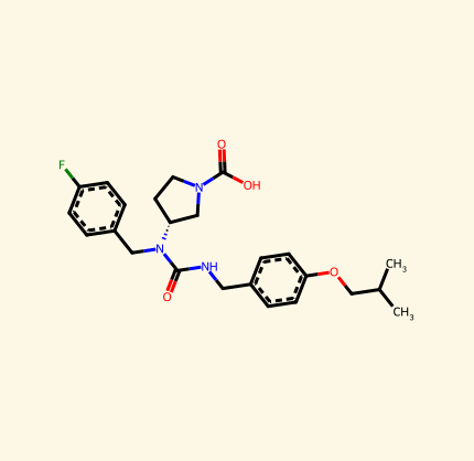 CC(C)COc1ccc(CNC(=O)N(Cc2ccc(F)cc2)[C@@H]2CCN(C(=O)O)C2)cc1